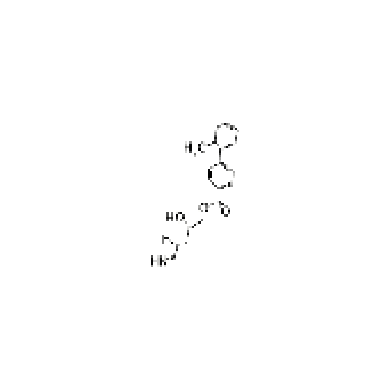 CC1CC=CC=C1c1ccc(C(=O)OC[C@@H](O)C[C@H](F)C=N)cc1